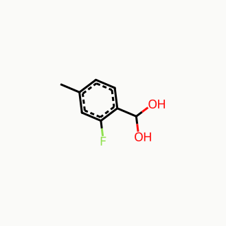 Cc1ccc(C(O)O)c(F)c1